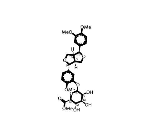 COC(=O)[C@H]1O[C@@H](Oc2cc([C@@H]3OC[C@@H]4[C@H]3CO[C@@H]4c3ccc(OC)c(OC)c3)ccc2OC)[C@@H](O)[C@@H](O)[C@@H]1O